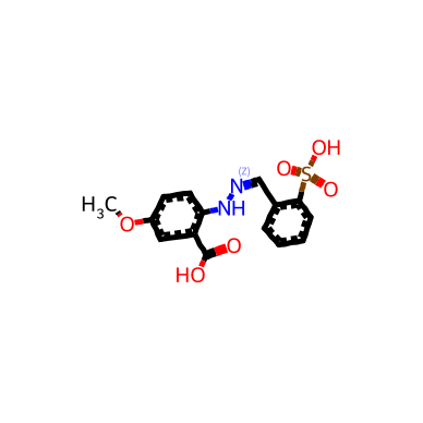 COc1ccc(N/N=C\c2ccccc2S(=O)(=O)O)c(C(=O)O)c1